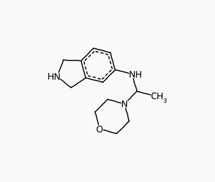 CC(Nc1ccc2c(c1)CNC2)N1CCOCC1